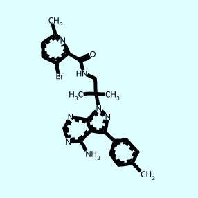 Cc1ccc(-c2nn(C(C)(C)CNC(=O)c3nc(C)ccc3Br)c3ncnc(N)c23)cc1